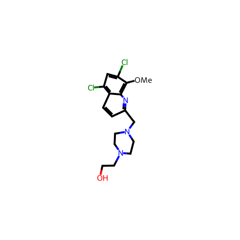 COc1c(Cl)cc(Cl)c2ccc(CN3CCN(CCO)CC3)nc12